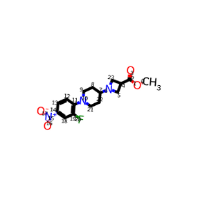 COC(=O)C1CN(C2CCN(c3ccc([N+](=O)[O-])cc3F)CC2)C1